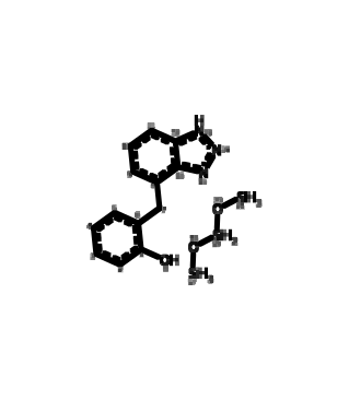 Oc1ccccc1Cc1cccc2[nH]nnc12.[SiH3]O[SiH2]O[SiH3]